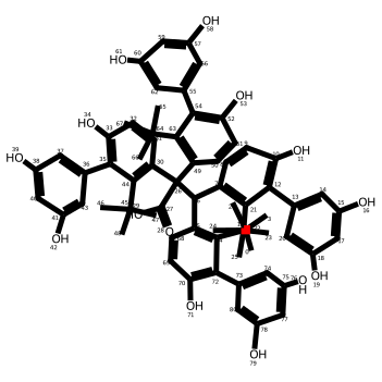 CC(C)(C)c1c(C(c2ccc(O)c(-c3cc(O)cc(O)c3)c2C(C)(C)C)C(C(=O)O)(c2ccc(O)c(-c3cc(O)cc(O)c3)c2C(C)(C)C)c2ccc(O)c(-c3cc(O)cc(O)c3)c2C(C)(C)C)ccc(O)c1-c1cc(O)cc(O)c1